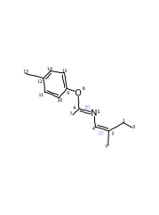 CC/C(C)=C\N=C(/C)Oc1ccc(C)cc1